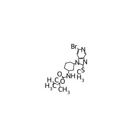 CSc1nc2cnc(Br)cc2n1[C@@H]1CCC[C@H](NC(=O)OC(C)(C)C)C1